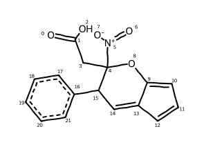 O=C(O)CC1([N+](=O)[O-])OC2=CC=CC2=CC1c1ccccc1